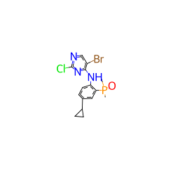 CP(C)(=O)c1cc(C2CC2)ccc1Nc1nc(Cl)ncc1Br